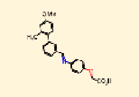 COc1ccc(-c2cccc(C=Nc3ccc(OCC(=O)O)cc3)c2)c(C)c1